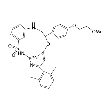 COCCOc1ccc(C2CNc3cccc(c3)S(=O)(=O)Nc3nc(cc(-c4c(C)cccc4C)n3)O2)cc1